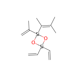 C=C[Si]1(C=C)O[Si](C(=C)C)(C(C)=C(C)C)O1